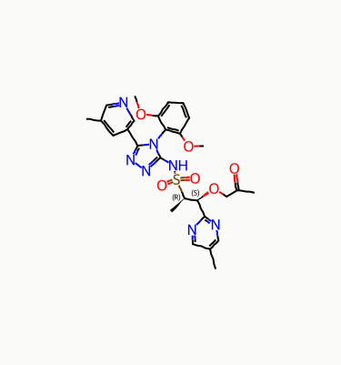 COc1cccc(OC)c1-n1c(NS(=O)(=O)[C@H](C)[C@@H](OCC(C)=O)c2ncc(C)cn2)nnc1-c1cncc(C)c1